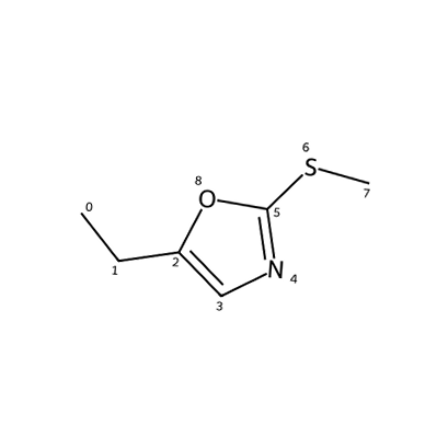 CCc1cnc(SC)o1